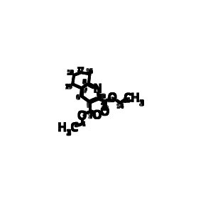 CCOC(=O)c1cc2c(nc1C(=O)OCC)CCCC2